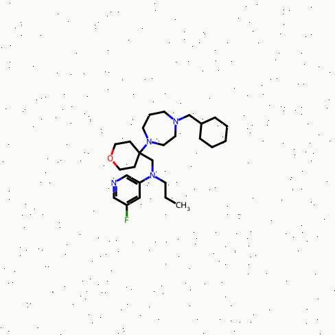 CCCN(CC1(N2CCCN(CC3CCCCC3)CC2)CCOCC1)c1cncc(F)c1